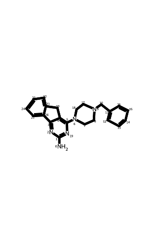 Nc1nc2c(c(N3CCN(Cc4ccccc4)CC3)n1)Cc1ccccc1-2